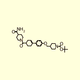 CC(C)(C)OC(=O)N1CCC(COc2ccc(C3=CCC(C(=O)N4CCC(C(N)=O)CC4)CC3)cc2)CC1